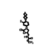 COC(=O)NCC1CN(c2ccc(N3CC4(CSC4)C3)c(F)c2)C(=O)O1